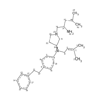 CC(C)=CCN(c1ccc(CCc2ccccc2)cc1)[C@H]1CCN(CC(N)CC(C)C)C1